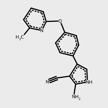 Cc1cccc(Oc2ccc(-c3c[nH]c(N)c3C#N)cc2)n1